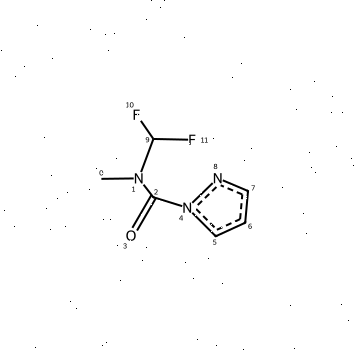 CN(C(=O)n1cccn1)C(F)F